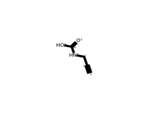 C#CCNC(=O)O